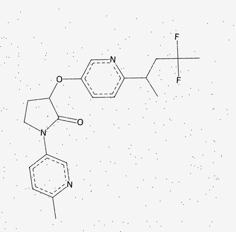 Cc1ccc(N2CCC(Oc3ccc(C(C)CC(C)(F)F)nc3)C2=O)cn1